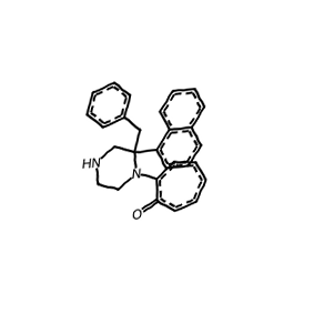 O=c1cccccc1N1CCNCC1(Cc1ccccc1)c1cccc2ccccc12